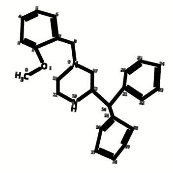 COc1ccccc1CN1CCNC(C(c2ccccc2)c2ccccc2)C1